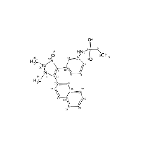 CCS(=O)(=O)Nc1cccc(-c2c(-c3ccc4nccnc4c3)n(C)n(C)c2=O)c1